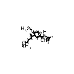 CCn1cc(CCCOC)c2cc(C(C)NC3CC3)ncc21